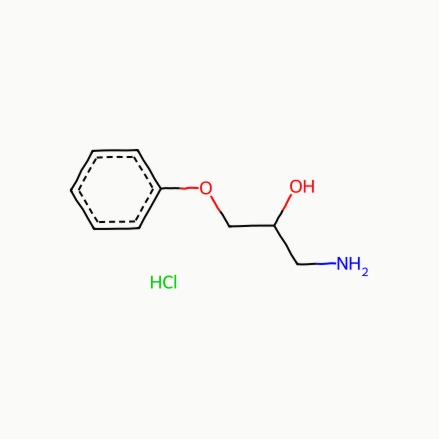 Cl.NCC(O)COc1ccccc1